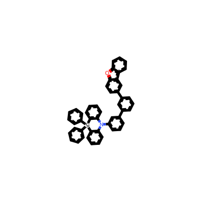 c1ccc([Si]2(c3ccccc3)c3ccccc3N(c3cccc(-c4cccc(-c5ccc6oc7ccccc7c6c5)c4)c3)c3ccccc32)cc1